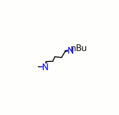 CCCC/N=C/CCC/C=N/C